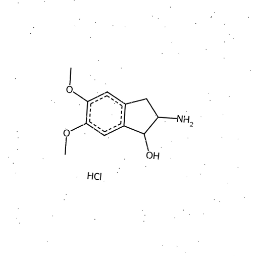 COc1cc2c(cc1OC)C(O)C(N)C2.Cl